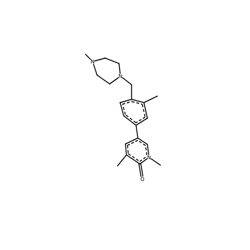 Cc1cc(-c2cc(C)c(=O)n(C)c2)ccc1CN1CCN(C)CC1